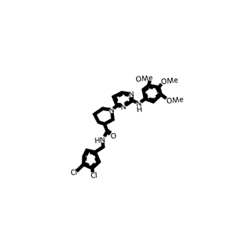 COc1cc(Nc2nccc(N3CCCC(C(=O)NCc4ccc(Cl)c(Cl)c4)C3)n2)cc(OC)c1OC